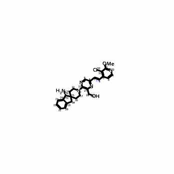 COc1nccc(/C=C/c2cnc(N3CCC4(CC3)Cc3ccccc3[C@H]4N)c(CO)n2)c1Cl